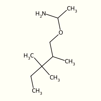 CCC(C)(C)C(C)COC(C)N